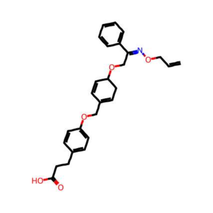 C=CCO/N=C(\COC1C=CC(COc2ccc(CCC(=O)O)cc2)=CC1)c1ccccc1